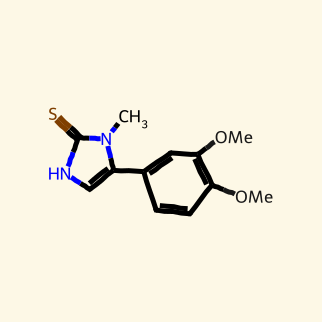 COc1ccc(-c2c[nH]c(=S)n2C)cc1OC